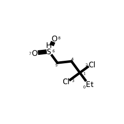 CCC(Cl)(Cl)CC[SH](=O)=O